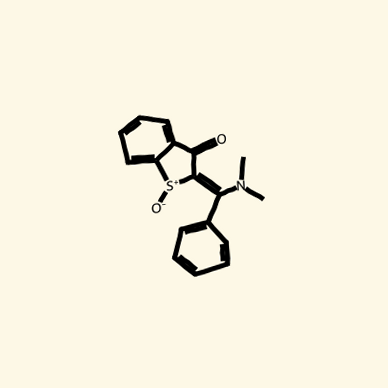 CN(C)C(=C1C(=O)c2ccccc2[S+]1[O-])c1ccccc1